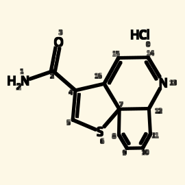 Cl.NC(=O)C1=CSC23C=CC=CC2N=CC=C13